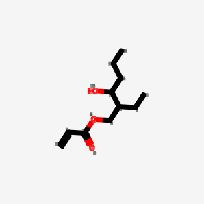 C=CC(=O)OCC(CC)C(O)CCC